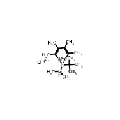 CC(C)=C(C)C(C)=[C](C)[Ti+2][N]([SiH](C)C)C(C)(C)C.[Cl-].[Cl-]